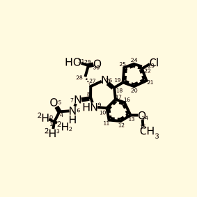 [2H]C([2H])([2H])C(=O)N/N=C1\Nc2ccc(OC)cc2C(c2ccc(Cl)cc2)=N[C@H]1CC(=O)O